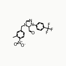 Cc1cc(CN2C=NN(c3ccc(C(F)(F)F)cc3)C2C=O)ccc1[N+](=O)[O-]